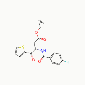 CCOC(=O)CC(NC(=O)c1ccc(F)cc1)C(=O)c1cccs1